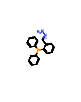 N/N=C/c1ccccc1P(c1ccccc1)c1ccccc1